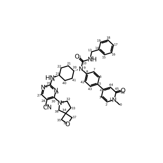 Cn1ccc(-c2ccc(N(C(=O)NCc3ccccc3)[C@H]3CC[C@H](Nc4ncc(C#N)c(N5CCC6(COC6)C5)n4)CC3)cc2)cc1=O